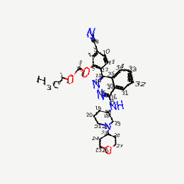 CCOCOc1cc(C#N)ccc1-c1nnc(N[C@@H]2CCCN(C3CCOCC3)C2)c2ccccc12